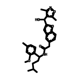 COc1cc(C)ccc1C(CCC(C)C)NC(=O)Cc1ccc2oc(C(O)c3c(C)noc3C)cc2c1